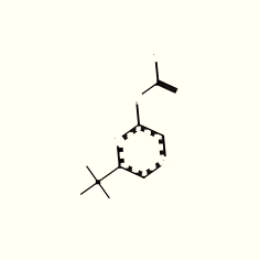 NC(=O)Oc1cncc(C(F)(F)F)n1